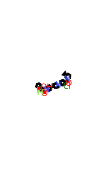 O=C(c1ccc(N2CCC(C3CCN(C(=O)C(O)(C4=CCCC=C4)C(F)(F)F)CC3)CC2)cc1Cl)N1CCCC2(CC2)C1